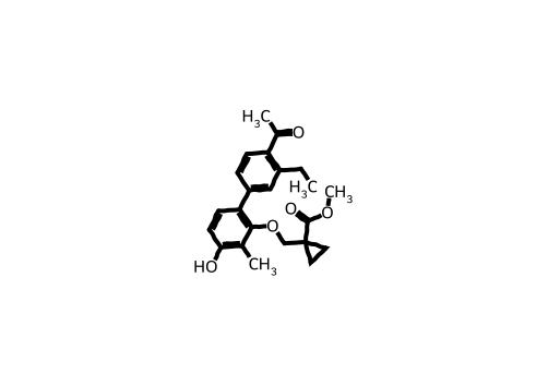 CCc1cc(-c2ccc(O)c(C)c2OCC2(C(=O)OC)CC2)ccc1C(C)=O